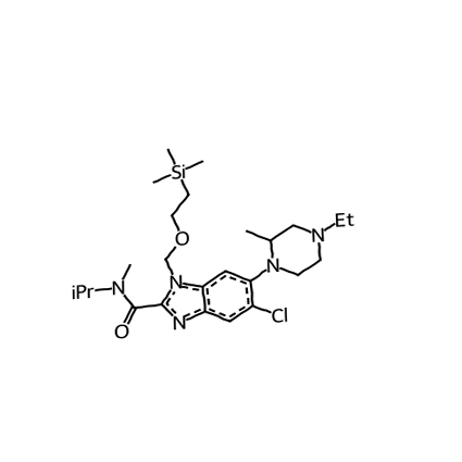 CCN1CCN(c2cc3c(cc2Cl)nc(C(=O)N(C)C(C)C)n3COCC[Si](C)(C)C)C(C)C1